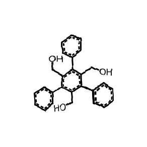 OCc1c(-c2ccccc2)c(CO)c(-c2ccccc2)c(CO)c1-c1ccccc1